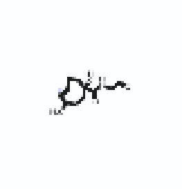 CC1/C=C/CCC(C)(C(=O)NCC=O)CC1